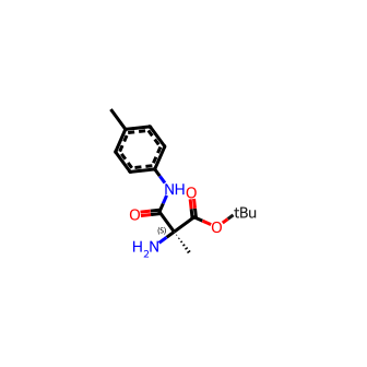 Cc1ccc(NC(=O)[C@](C)(N)C(=O)OC(C)(C)C)cc1